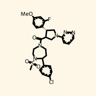 COc1ccc([C@@H]2CN(c3cccnn3)CC2C(=O)N2CCC(c3ccc(Cl)cc3)N(S(C)(=O)=O)CC2)c(F)c1